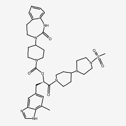 Cc1cc(C[C@@H](OC(=O)N2CCC(N3CCc4ccccc4NC3=O)CC2)C(=O)N2CCC(N3CCN(S(C)(=O)=O)CC3)CC2)cc2nc[nH]c12